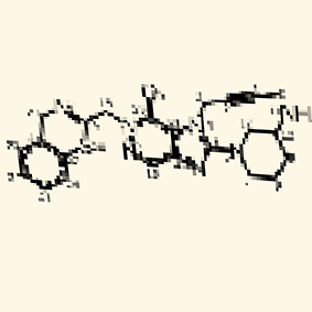 CC#CCn1c(N2CCCC(N)C2)nc2cnn(CC3=NCc4ccccc4S3)c(=O)c21